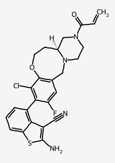 C=CC(=O)N1CCN2Cc3cc(F)c(-c4cccc5sc(N)c(C#N)c45)c(Cl)c3OCC[C@H]2C1